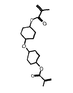 C=C(C)C(=O)OC1CCC(OC2CCC(OC(=O)C(=C)C)CC2)CC1